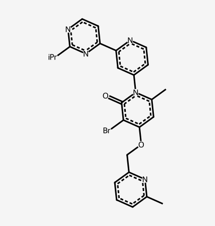 Cc1cccc(COc2cc(C)n(-c3ccnc(-c4ccnc(C(C)C)n4)c3)c(=O)c2Br)n1